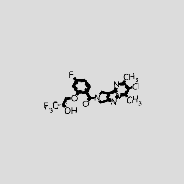 Cc1nc2c3c(nn2c(C)c1Cl)CN(C(=O)c1ccc(F)cc1OC[C@H](O)C(F)(F)F)C3